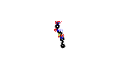 O=C(NCc1ccc(S(=O)(=O)N2CCC(CCc3ccccc3)CC2)s1)c1ccc([N+](=O)[O-])cc1